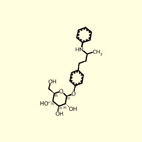 CC(CCc1ccc(O[C@@H]2O[C@H](CO)[C@@H](O)[C@H](O)[C@H]2O)cc1)Nc1ccccc1